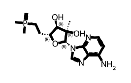 C=P(C)(C)CC[C@H]1O[C@@H](n2cnc3c(N)ccnc32)[C@](C)(O)[C@@H]1O